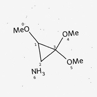 COC1CC1(OC)OC.N